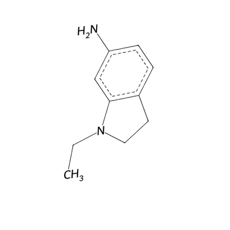 CCN1CCc2ccc(N)cc21